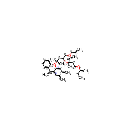 C=C/C=C(\C(=C/C=C)OC(C)(C)CC(COCC=C)OC(C)(CC)CCOC(C)CC)C(C)c1ccccc1